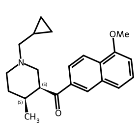 COc1cccc2cc(C(=O)[C@@H]3CN(CC4CC4)CC[C@@H]3C)ccc12